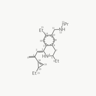 C=C(/C=C1\NC(CC)Cc2cc(CNCCC)c(CC)cc21)C1=CC1CC